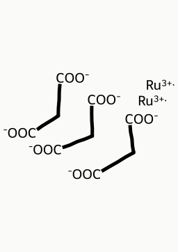 O=C([O-])CC(=O)[O-].O=C([O-])CC(=O)[O-].O=C([O-])CC(=O)[O-].[Ru+3].[Ru+3]